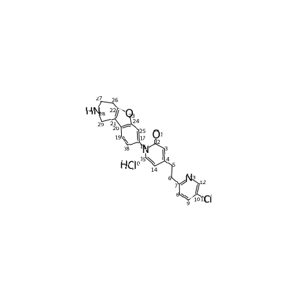 Cl.O=c1cc(CCc2ccc(Cl)cn2)ccn1-c1ccc2c3c(oc2c1)CCNC3